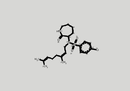 CC(C)=CCCC(C)=CCN(C1CCCCNC1=O)S(=O)(=O)c1ccc(Cl)cc1